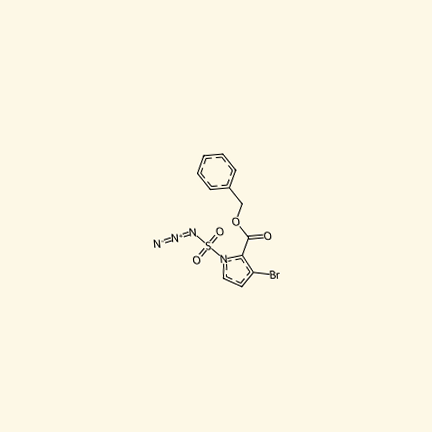 [N-]=[N+]=NS(=O)(=O)n1ccc(Br)c1C(=O)OCc1ccccc1